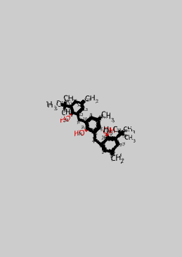 C=C1C=C(Cc2cc(C)cc(CC3=CC(=C)CC(C(C)(C)C)=C3O)c2O)C(O)=C(C(C)(C)C)C1